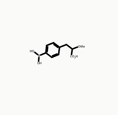 COC(Cc1ccc(B(O)O)cc1)C(=O)O